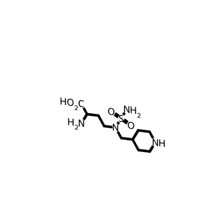 NC(CCN(CC1CCNCC1)S(N)(=O)=O)C(=O)O